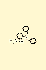 [2H][C@H]1[C@H](N(Cc2ccccc2)Cc2ccccc2)CCC[C@@H]1N